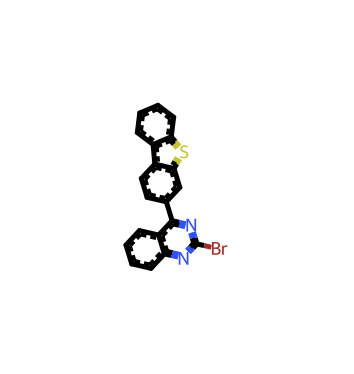 Brc1nc(-c2ccc3c(c2)sc2ccccc23)c2ccccc2n1